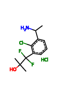 CC(N)c1cccc(C(F)(F)C(C)(C)O)c1Cl.Cl